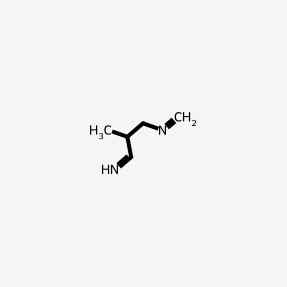 C=NCC(C)C=N